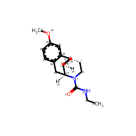 CCNC(=O)N1CC[C@@]23CCCC[C@@H]2[C@@H]1Cc1ccc(OC)cc13